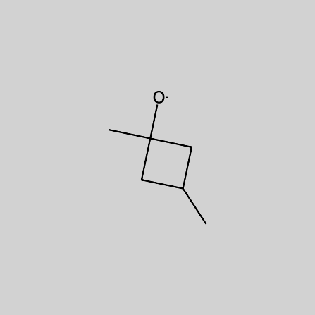 CC1CC(C)([O])C1